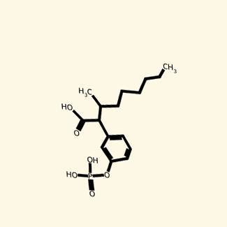 CCCCCCC(C)C(C(=O)O)c1cccc(OP(=O)(O)O)c1